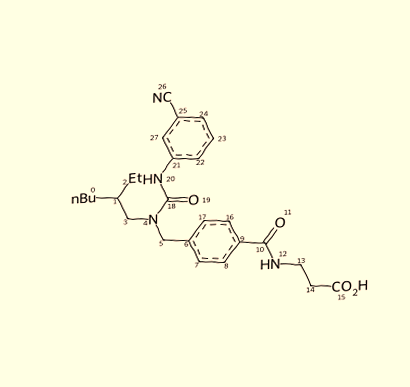 CCCCC(CC)CN(Cc1ccc(C(=O)NCCC(=O)O)cc1)C(=O)Nc1cccc(C#N)c1